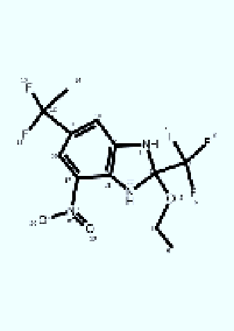 CCOC1(C(F)(F)F)Nc2cc(C(F)(F)F)cc([N+](=O)[O-])c2N1